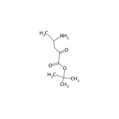 CC(N)CC(=O)C(=O)OC(C)(C)C